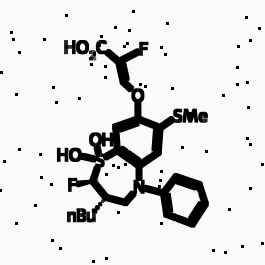 CCCC[C@H]1CN(c2ccccc2)c2cc(SC)c(OC=C(F)C(=O)O)cc2S(O)(O)[C@@H]1F